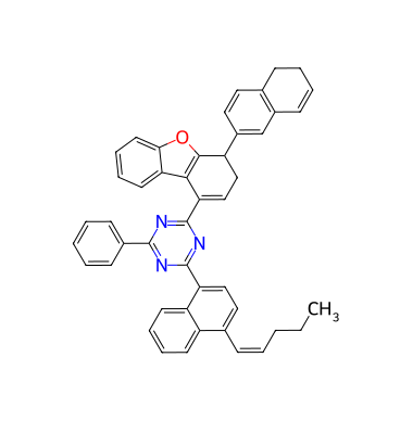 CCC/C=C\c1ccc(-c2nc(C3=CCC(c4ccc5c(c4)C=CCC5)c4oc5ccccc5c43)nc(-c3ccccc3)n2)c2ccccc12